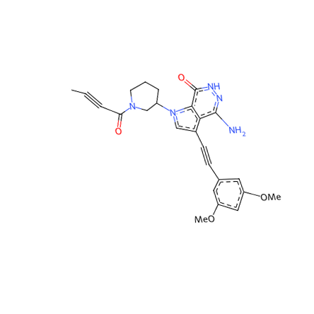 CC#CC(=O)N1CCCC(n2cc(C#Cc3cc(OC)cc(OC)c3)c3c(N)n[nH]c(=O)c32)C1